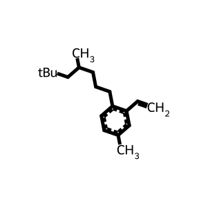 C=Cc1cc(C)ccc1CCCC(C)CC(C)(C)C